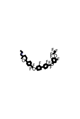 C/C=C/C1CCC(c2ccc(C(F)(F)Oc3ccc(-c4ccc(C(F)(F)Oc5cc(F)c(OC(F)=C(F)F)c(F)c5)c(F)c4)c(F)c3)cc2)OC1